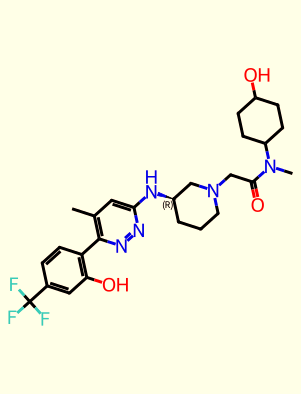 Cc1cc(N[C@@H]2CCCN(CC(=O)N(C)C3CCC(O)CC3)C2)nnc1-c1ccc(C(F)(F)F)cc1O